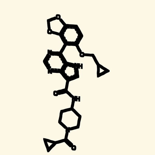 O=C(NC1CCN(C(=O)C2CC2)CC1)c1c[nH]c2c(-c3c(OCC4CC4)ccc4c3OCO4)ncnc12